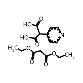 CCOC(=O)CC(=O)OCC.O=C(O)C(C(=O)O)c1ccncc1